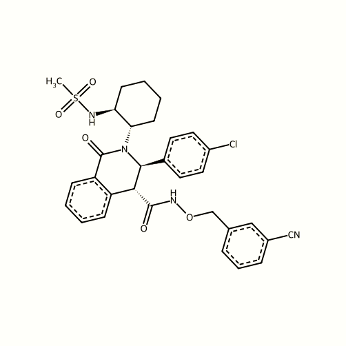 CS(=O)(=O)N[C@H]1CCCC[C@@H]1N1C(=O)c2ccccc2[C@@H](C(=O)NOCc2cccc(C#N)c2)[C@@H]1c1ccc(Cl)cc1